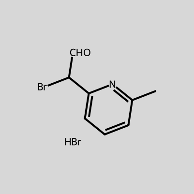 Br.Cc1cccc(C(Br)C=O)n1